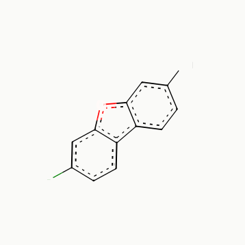 Cc1ccc2c(c1)oc1cc(F)ccc12